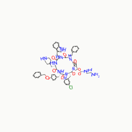 NCCNC(=O)O[C@@H]1C[C@H]2C(=O)N[C@@H](CCc3ccccc3)C(=O)N[C@H](Cc3c[nH]c4ccccc34)C(=O)N[C@@H](CC3CCNCC3)C(=O)N[C@@H](Cc3ccc(OCc4ccccc4)cc3)C(=O)N[C@@H](Cc3cccc(Cl)c3)C(=O)N2C1